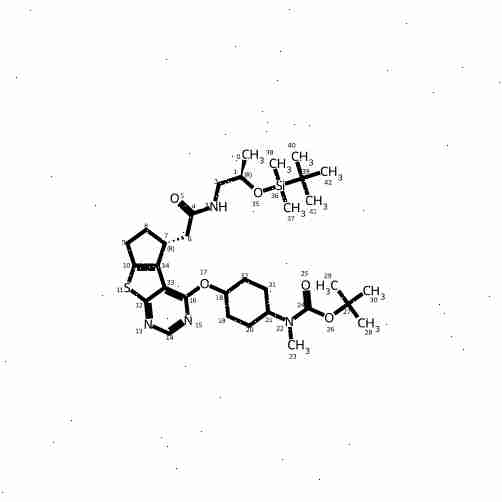 C[C@H](CNC(=O)C[C@H]1CCc2sc3ncnc(OC4CCC(N(C)C(=O)OC(C)(C)C)CC4)c3c21)O[Si](C)(C)C(C)(C)C